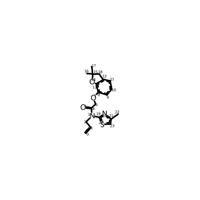 C=CCN(C(=O)COc1cccc2c1OC(C)(C)C2)c1nc(C)cs1